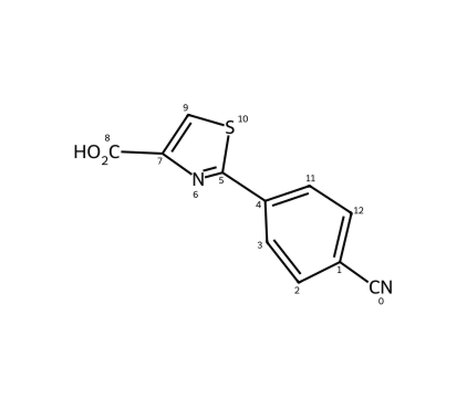 N#Cc1ccc(-c2nc(C(=O)O)cs2)cc1